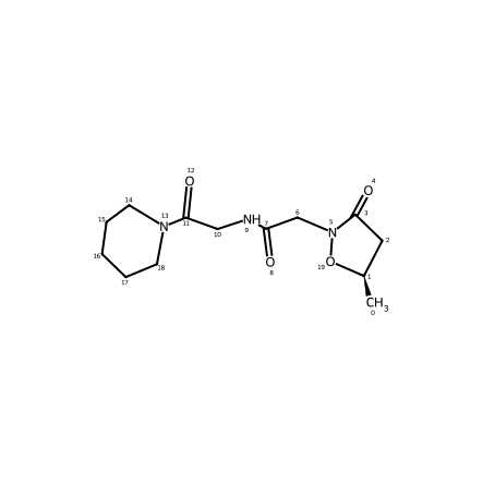 C[C@@H]1CC(=O)N(CC(=O)NCC(=O)N2CCCCC2)O1